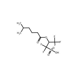 CC(C)CCCC(=O)OC(C(F)(F)F)C(F)(F)S(=O)(=O)O